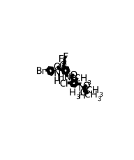 Cc1c(CNC(=O)C(C)(C)C)ccc(Cl)c1C(=O)Nc1ccc(OCC(F)F)c(C(=O)Nc2ccc(Br)cc2)c1